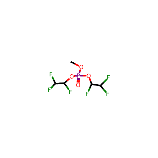 COP(=O)(OC(F)C(F)F)OC(F)C(F)F